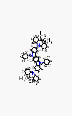 CC1(C)c2ccccc2N(c2ccc3c(c2)c2cc4c(cc2n3-c2ccccc2)c2cc(N3c5ccccc5C(C)(C)c5ccccc53)ccc2n4-c2ccccc2)c2ccccc21